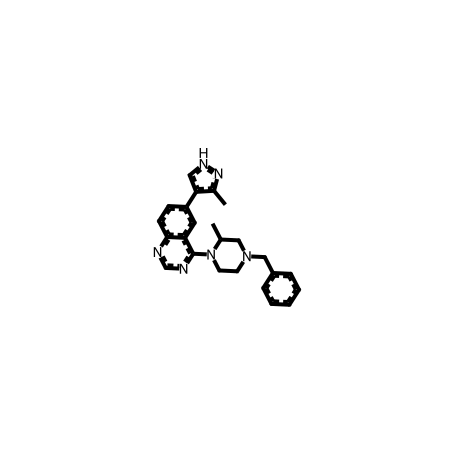 Cc1n[nH]cc1-c1ccc2ncnc(N3CCN(Cc4ccccc4)CC3C)c2c1